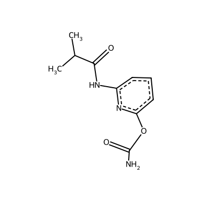 CC(C)C(=O)Nc1cccc(OC(N)=O)n1